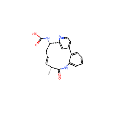 C[C@@H]1/C=C/C[C@H](NC(=O)O)c2cc(ccn2)-c2ccccc2NC1=O